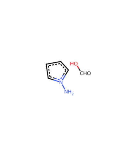 Nn1cccc1.O=CO